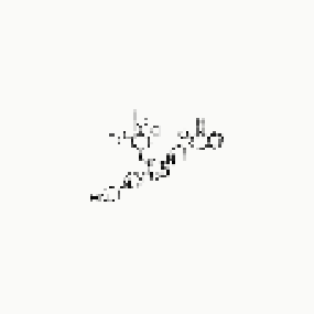 Cc1cc(C[C@@H](CC(=O)N2CCC(N3Cc4ccccc4NC3=O)CC2)C(=O)N2CCN(C3CCNCC3)CC2)cc(Cl)c1N